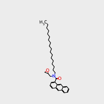 CCCCCCCCCCCCCCCCCCN(CC1CO1)C(=O)c1cccc2cc3ccccc3cc12